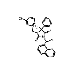 CC1(c2ccccc2)C(=O)N(C(=O)c2cccc3ccccc23)C(=O)N1Cc1cccc(Cl)c1